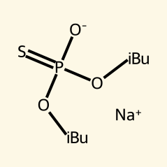 CCC(C)OP([O-])(=S)OC(C)CC.[Na+]